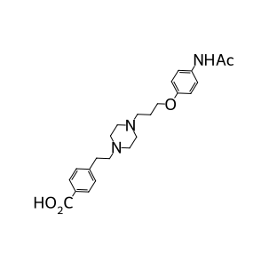 CC(=O)Nc1ccc(OCCCN2CCN(CCc3ccc(C(=O)O)cc3)CC2)cc1